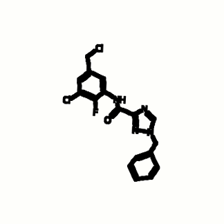 O=C(Nc1cc(CCl)cc(Cl)c1F)c1ncn(Cc2ccccc2)n1